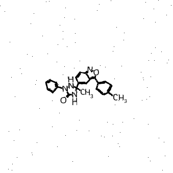 Cc1ccc(-c2onc3ccc(C4(C)NC(=O)N(c5ccccc5)N4)cc23)cc1